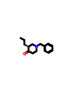 CCC[C@H]1CN(Cc2ccccc2)CCC1=O